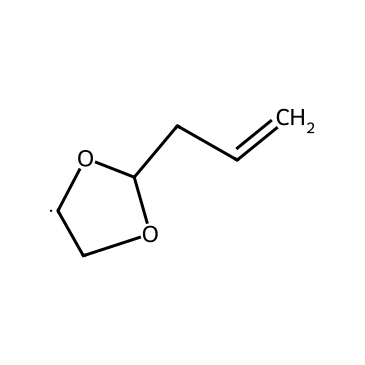 C=CCC1O[CH]CO1